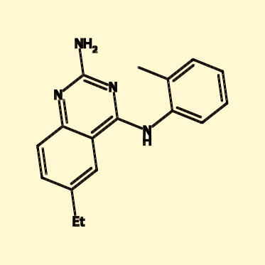 CCc1ccc2nc(N)nc(Nc3ccccc3C)c2c1